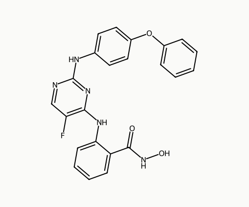 O=C(NO)c1ccccc1Nc1nc(Nc2ccc(Oc3ccccc3)cc2)ncc1F